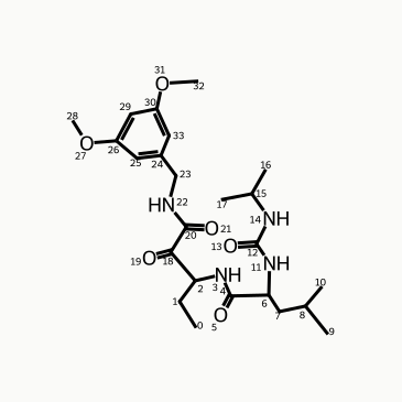 CCC(NC(=O)C(CC(C)C)NC(=O)NC(C)C)C(=O)C(=O)NCc1cc(OC)cc(OC)c1